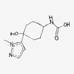 Cn1nccc1C1(O)CCC(NC(=O)O)CC1